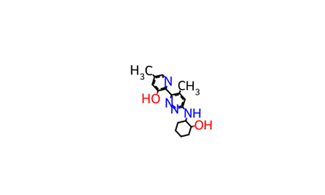 Cc1cnc(-c2nnc(NC3CCCCC3O)cc2C)c(O)c1